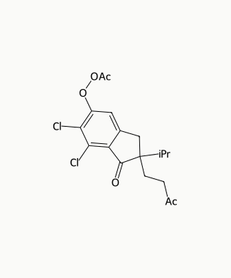 CC(=O)CCC1(C(C)C)Cc2cc(OOC(C)=O)c(Cl)c(Cl)c2C1=O